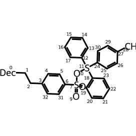 CCCCCCCCCCCCc1ccc(S(=O)(=O)OS(c2ccccc2)(c2ccccc2)c2ccc(C)cc2)cc1